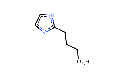 O=C(O)CCCc1n[c]c[nH]1